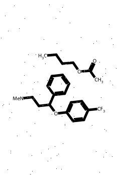 CCCCOC(C)=O.CNCCC(Oc1ccc(C(F)(F)F)cc1)c1ccccc1